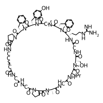 CC(C)C1NC(=O)CNC(=O)[C@H](C)N(C)C(=O)[C@@H]2CCCN2C(=O)CNC(=O)CNC(=O)CSCCNC(=O)[C@@H]2CCCN2C(=O)[C@H](Cc2ccccc2)N(C)C(=O)[C@H](Cc2ccc(O)cc2)NC(=O)CN(C)C(=O)[C@H](Cc2ccccc2)N(C)C(=O)[C@H](CCCNC(=N)N)NC(=O)CNC(=O)[C@H](CO)N(C)C1=O